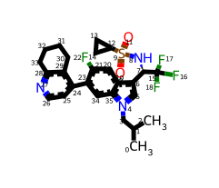 CC(C)Cn1cc([C@H](NS(=O)(=O)C2CC2)C(F)(F)F)c2cc(F)c(-c3ccnc4c3CCCC4)cc21